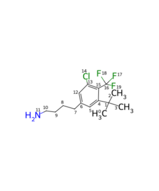 CC(C)(C)c1cc(CCCCN)cc(Cl)c1C(F)(F)F